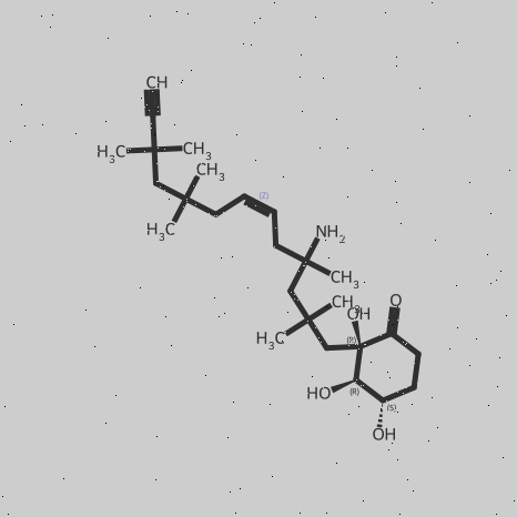 C#CC(C)(C)CC(C)(C)C/C=C\CC(C)(N)CC(C)(C)C[C@]1(O)C(=O)CC[C@H](O)[C@H]1O